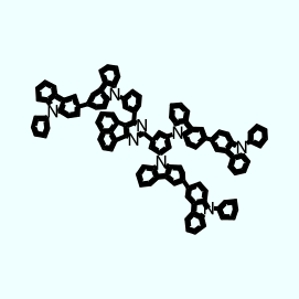 c1ccc(-n2c3ccccc3c3cc(-c4ccc5c(c4)c4ccccc4n5-c4cccc(-c5nc(-c6cc(-n7c8ccccc8c8cc(-c9ccc%10c(c9)c9ccccc9n%10-c9ccccc9)ccc87)cc(-n7c8ccccc8c8cc(-c9ccc%10c(c9)c9ccccc9n%10-c9ccccc9)ccc87)c6)nc6c5-c5cccc7cccc-6c57)c4)ccc32)cc1